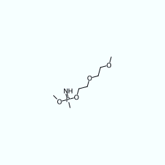 COCCOCCOP(C)(=N)OC